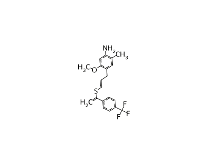 C=C(S/C=C/Cc1cc(C)c(N)cc1OC)c1ccc(C(F)(F)F)cc1